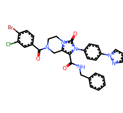 O=C(NCc1ccccc1)c1c2n(c(=O)n1-c1ccc(-n3cccn3)cc1)CCN(C(=O)c1ccc(Br)c(Cl)c1)C2